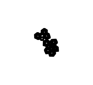 c1ccc(C2(c3ccccc3)c3cc(-c4ccc5cccc6c5c4Oc4ccccc4-6)ccc3-c3ccc4ccccc4c32)cc1